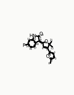 Cc1ccc(C2=CC(=C3C(=O)Nc4cc(F)ccc43)OC2(C)C)o1